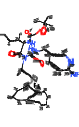 CCC(C)C(NC(=O)OC(C)(C)C)C(=O)N(CC[C@H]1CCCC2CCCC[C@@H]21)C(=O)NCc1ccc(N)nc1